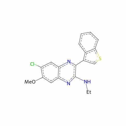 CCNc1nc2cc(OC)c(Cl)cc2nc1-c1csc2ccccc12